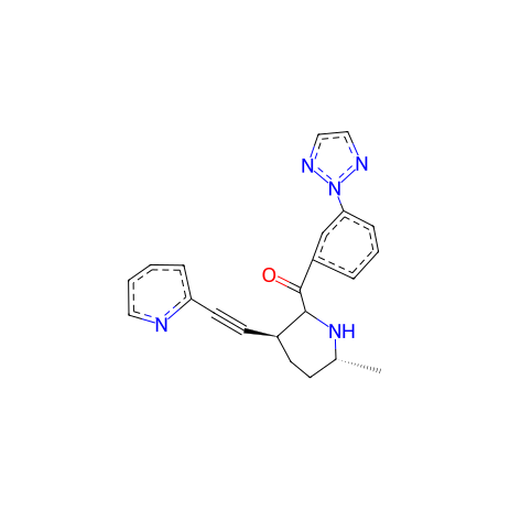 C[C@@H]1CC[C@@H](C#Cc2ccccn2)C(C(=O)c2cccc(-n3nccn3)c2)N1